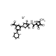 Cc1[nH]c(C(=O)N[C@@H]2[C@@H]3CN(c4cc(C(=O)[O-])nc(N5CCCCC5)n4)C[C@@H]32)c(Cl)c1Cl.[Li+]